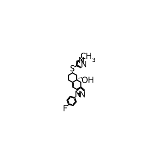 Cn1cc(S[C@H]2CCC3=Cc4c(cnn4-c4ccc(F)cc4)C[C@]3(CO)C2)cn1